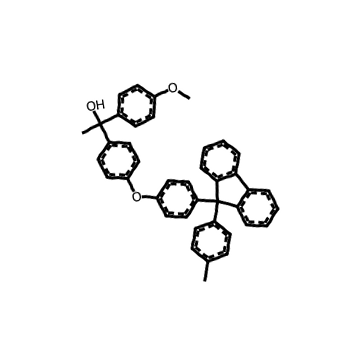 COc1ccc(C(C)(O)c2ccc(Oc3ccc(C4(c5ccc(C)cc5)c5ccccc5-c5ccccc54)cc3)cc2)cc1